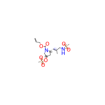 C=CCOC(=O)N1C[C@H](OS(C)(=O)=O)C[C@H]1/C=C(\C)CNS(C)(=O)=O